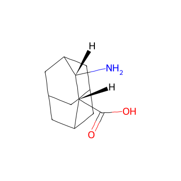 N[C@H]1C2CC3CC(CC(C3)[C@H]1C(=O)O)C2